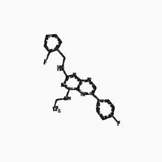 Fc1ccc(-c2cnc3nc(NCc4ccccc4F)nc(NCC(F)(F)F)c3n2)cc1